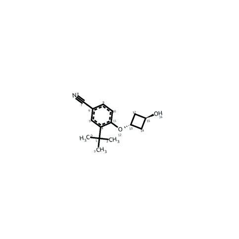 CC(C)(C)c1cc(C#N)ccc1O[C@H]1C[C@H](O)C1